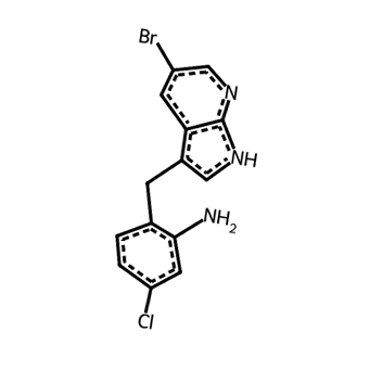 Nc1cc(Cl)ccc1Cc1c[nH]c2ncc(Br)cc12